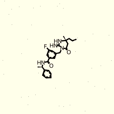 CCC[C@]1(C)CC(=O)N(Cc2cc(F)cc(C(=O)N[C@H](C)c3ccccc3)c2)C(=N)N1